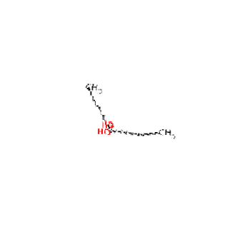 CCCCCC=CCC=CCCCCCCCCC(CO)(CO)CCCCCCCCC=CCC=CCCCCC